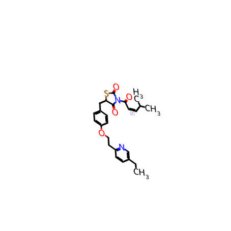 CCc1ccc(CCOc2ccc(CC3SC(=O)N(C(=O)/C=C\C(C)C)C3=O)cc2)nc1